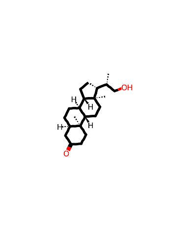 C[C@H](CO)[C@H]1CC[C@H]2[C@@H]3CC[C@@H]4CC(=O)CC[C@]4(C)[C@H]3CC[C@]12C